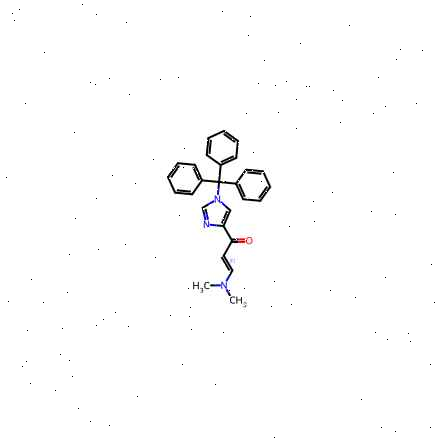 CN(C)/C=C/C(=O)c1cn(C(c2ccccc2)(c2ccccc2)c2ccccc2)cn1